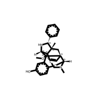 CO[C@]12C=C[C@]34C[C@@]1(C)[C@@H](c1ccccc1)N[C@H]2[C@@]31CCN(C)[C@@H]4Cc2ccc(O)cc21